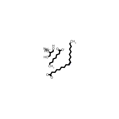 CCCCCCCC(=O)[O-].CCCCCCCC/C=C\CCCCCCCC(=O)[O-].OCC(O)CO.[Na+].[Na+]